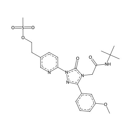 COc1cccc(-c2nn(-c3ccc(CCOS(C)(=O)=O)cn3)c(=O)n2CC(=O)NC(C)(C)C)c1